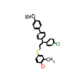 COc1ccc(-c2ccc(C(=CCSc3ccc([O])c(C)c3)c3ccc(Cl)cc3)cc2)cc1